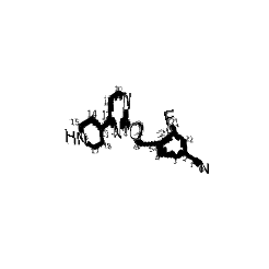 N#Cc1ccc(COc2nccc(C3CCNCC3)n2)c(F)c1